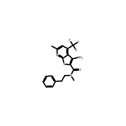 Cc1cc(C(F)(F)F)c2c(N)c(C(=O)N(C)CCc3ccccc3)sc2n1